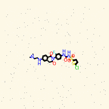 CN(C)CCNc1ccc2c(c1)CC(=O)N(c1ccc(NC(=O)NS(=O)(=O)c3ccc(Cl)s3)cc1F)C2=O